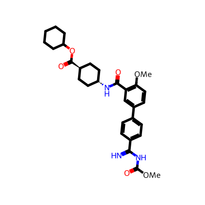 COC(=O)NC(=N)c1ccc(-c2ccc(OC)c(C(=O)N[C@H]3CC[C@H](C(=O)OC4CCCCC4)CC3)c2)cc1